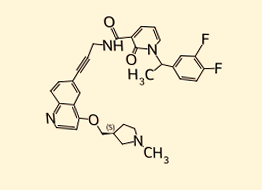 CC(c1ccc(F)c(F)c1)n1cccc(C(=O)NCC#Cc2ccc3nccc(OC[C@H]4CCN(C)C4)c3c2)c1=O